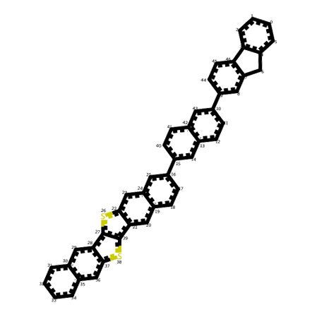 c1ccc2c(c1)Cc1cc(-c3ccc4cc(-c5ccc6cc7c(cc6c5)sc5c6cc8ccccc8cc6sc75)ccc4c3)ccc1-2